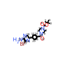 CC(C)(C)OC(=O)N1CCN(C(=O)c2ccc(-c3cnc(N)c(Br)n3)cc2)CC1